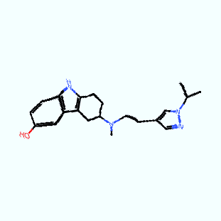 CC(C)n1cc(CCN(C)C2CCc3[nH]c4ccc(O)cc4c3C2)cn1